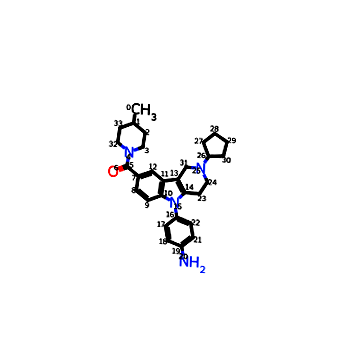 CC1CCN(C(=O)c2ccc3c(c2)c2c(n3-c3ccc(N)cc3)CCN(C3CCCC3)C2)CC1